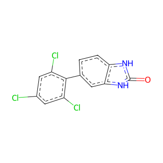 O=c1[nH]c2ccc(-c3c(Cl)cc(Cl)cc3Cl)cc2[nH]1